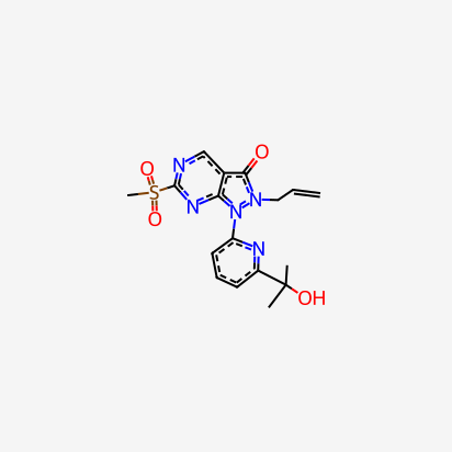 C=CCn1c(=O)c2cnc(S(C)(=O)=O)nc2n1-c1cccc(C(C)(C)O)n1